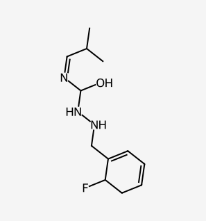 CC(C)/C=N\C(O)NNCC1=CC=CCC1F